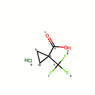 Cl.O=C(O)C1(C(F)(F)F)CC1